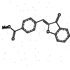 COC(=O)c1ccc(/C=C2\Oc3ccccc3C2=O)cc1